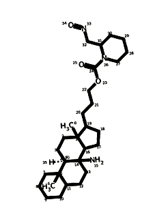 CC12CC[C@@H]3C4(C)CCCCC4CCC3(N)C1CCC2CCCOC(=O)N1CCCCC1CN=O